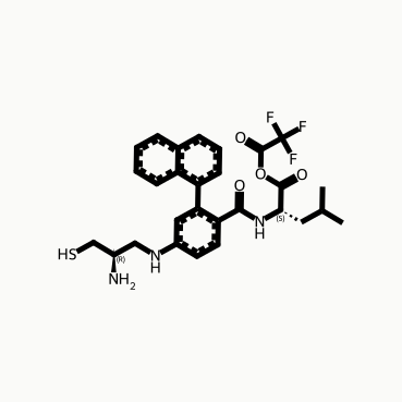 CC(C)C[C@H](NC(=O)c1ccc(NC[C@@H](N)CS)cc1-c1cccc2ccccc12)C(=O)OC(=O)C(F)(F)F